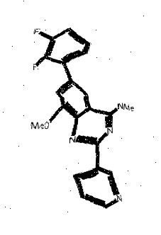 CNc1nc(-c2cccnc2)nc2c(OC)cc(-c3cccc(F)c3F)cc12